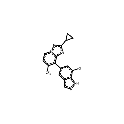 FC(F)(F)c1ccn2nc(C3CC3)nc2c1-c1cc(Cl)c2[nH]ncc2c1